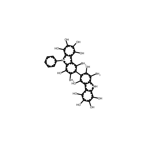 Bc1c(-c2c(O)c(B)c3[nH]c4c(O)c(O)c(O)c(O)c4c3c2O)c(B)c2c3c(O)c(O)c(O)c(O)c3n(-c3ccccc3)c2c1O